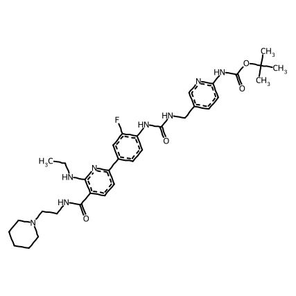 CCNc1nc(-c2ccc(NC(=O)NCc3ccc(NC(=O)OC(C)(C)C)nc3)c(F)c2)ccc1C(=O)NCCN1CCCCC1